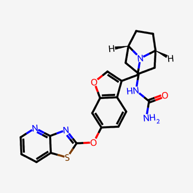 NC(=O)NC1C[C@H]2CC[C@@H](C1)N2Cc1coc2cc(Oc3nc4ncccc4s3)ccc12